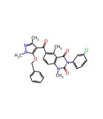 Cc1nn(C)c(OCc2ccccc2)c1C(=O)c1ccc2c(c1C)c(=O)n(-c1cccc(Cl)c1)c(=O)n2C